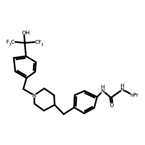 CCCNC(=O)Nc1ccc(CC2CCN(Cc3ccc(C(O)(C(F)(F)F)C(F)(F)F)cc3)CC2)cc1